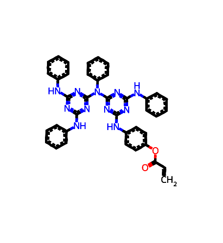 C=CC(=O)Oc1ccc(Nc2nc(Nc3ccccc3)nc(N(c3ccccc3)c3nc(Nc4ccccc4)nc(Nc4ccccc4)n3)n2)cc1